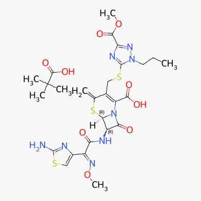 C=C1S[C@@H]2[C@H](NC(=O)C(=NOC)c3csc(N)n3)C(=O)N2C(C(=O)O)=C1CSc1nc(C(=O)OC)nn1CCC.CC(C)(C)C(=O)O